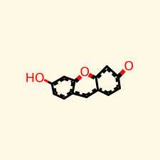 O=c1ccc2cc3ccc(O)cc3oc-2c1